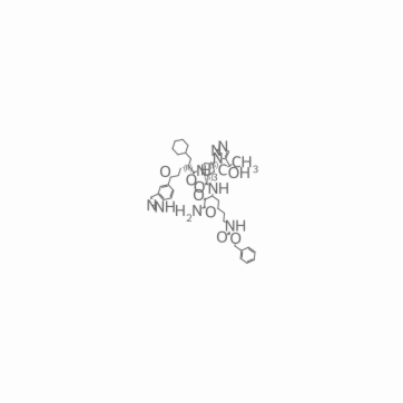 CC(C)(O)c1cnnn1[C@H]1C[C@@H](C(=O)NC(CCCCNC(=O)OCc2ccccc2)C(=O)C(N)=O)N(C(=O)[C@H](CCC(=O)c2ccc3[nH]ncc3c2)CC2CCCCC2)C1